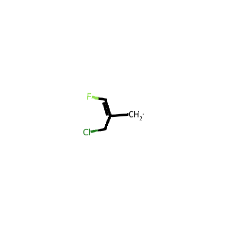 [CH2]C(=CF)CCl